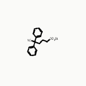 CCOC(=O)CCCC(C#N)(c1ccccc1)c1ccccc1